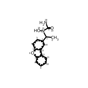 CC(c1ccc2oc3ccccc3c2c1)N(O)C(N)=O